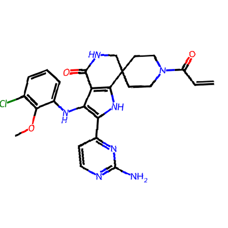 C=CC(=O)N1CCC2(CC1)CNC(=O)c1c2[nH]c(-c2ccnc(N)n2)c1Nc1cccc(Cl)c1OC